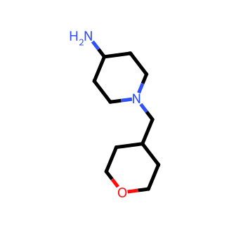 NC1CCN(CC2CCOCC2)CC1